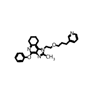 Cc1nc2c(Oc3ccccc3)nc3c(c2n1CCOCCCc1cccnc1)CCCC3